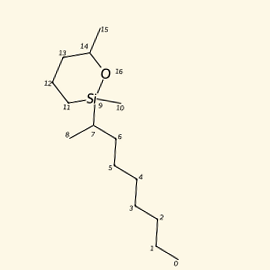 CCCCCCCC(C)[Si]1(C)CCCC(C)O1